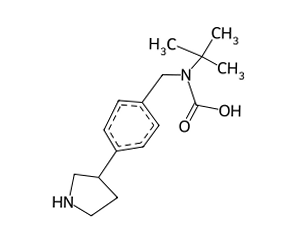 CC(C)(C)N(Cc1ccc(C2CCNC2)cc1)C(=O)O